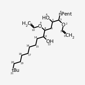 C=COC(CCCCC)C(O)CC(OC=C)C(O)CCCCCCCC(C)(C)C